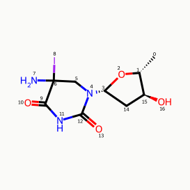 C[C@H]1O[C@@H](N2CC(N)(I)C(=O)NC2=O)C[C@@H]1O